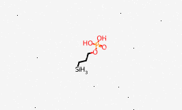 O=P(O)(O)OCCC[SiH3]